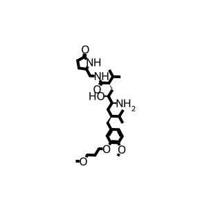 COCCCOc1cc(C[C@@H](C[C@H](N)[C@@H](O)C[C@H](C(=O)NCC2CCC(=O)N2)C(C)C)C(C)C)ccc1OC